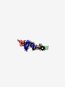 CCOC(=O)c1cc2c(nc(CC3CCN(c4cccc(OCc5ccc(Cl)cc5F)n4)CC3)n2Cc2cncn2CC)s1